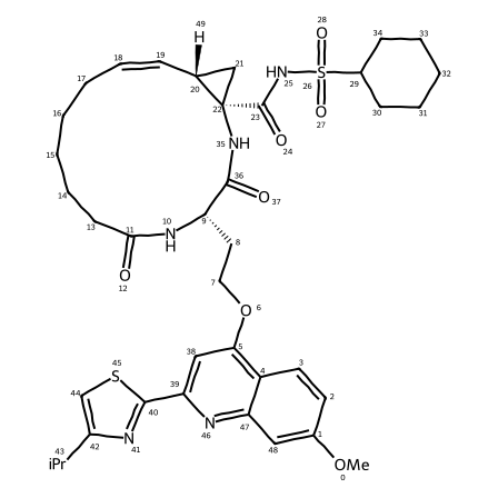 COc1ccc2c(OCC[C@@H]3NC(=O)CCCCC/C=C\[C@@H]4C[C@@]4(C(=O)NS(=O)(=O)C4CCCCC4)NC3=O)cc(-c3nc(C(C)C)cs3)nc2c1